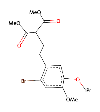 COC(=O)C(CCc1cc(OC(C)C)c(OC)cc1Br)C(=O)OC